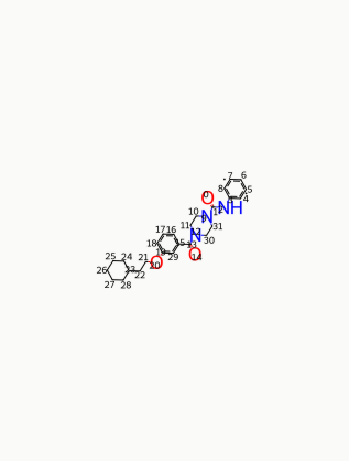 O=C(Nc1c[c]c[c]c1)N1CCN(C(=O)c2cccc(OCCC3CCCCC3)c2)CC1